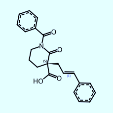 O=C(c1ccccc1)N1CCC[C@@](C/C=C/c2ccccc2)(C(=O)O)C1=O